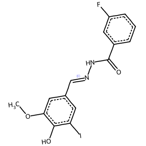 COc1cc(/C=N/NC(=O)c2cccc(F)c2)cc(I)c1O